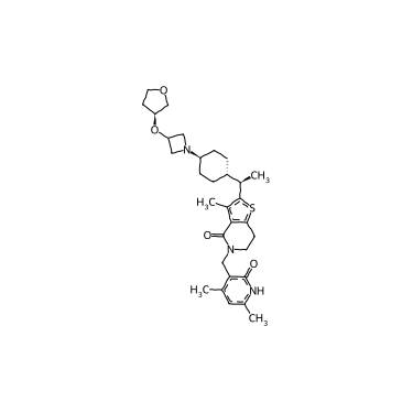 Cc1cc(C)c(CN2CCc3sc([C@H](C)[C@H]4CC[C@H](N5CC(O[C@H]6CCOC6)C5)CC4)c(C)c3C2=O)c(=O)[nH]1